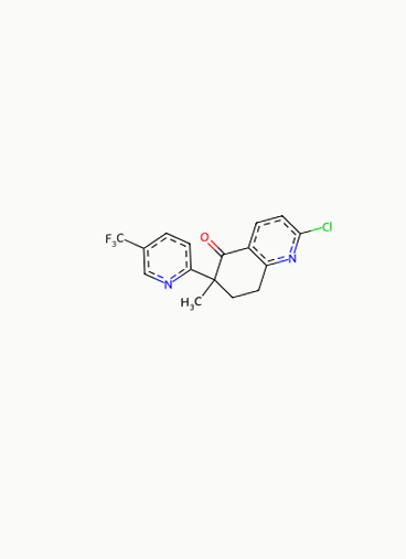 CC1(c2ccc(C(F)(F)F)cn2)CCc2nc(Cl)ccc2C1=O